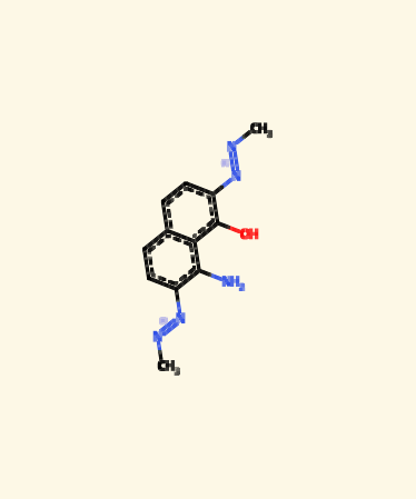 C/N=N/c1ccc2ccc(/N=N/C)c(O)c2c1N